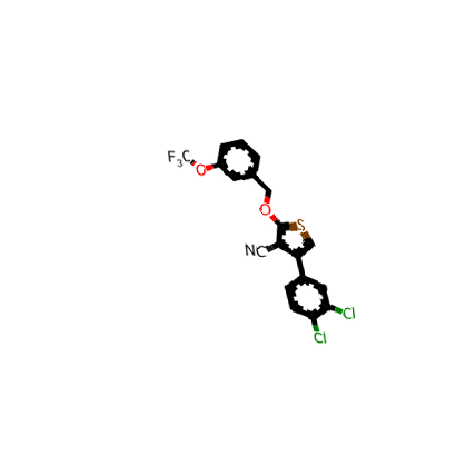 N#Cc1c(-c2ccc(Cl)c(Cl)c2)csc1OCc1cccc(OC(F)(F)F)c1